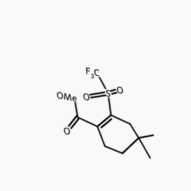 COC(=O)C1=C(S(=O)(=O)C(F)(F)F)CC(C)(C)CC1